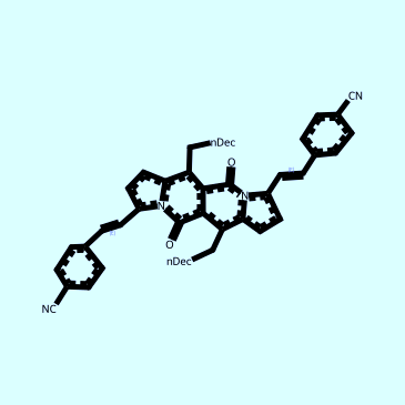 CCCCCCCCCCCc1c2c(=O)n3c(/C=C/c4ccc(C#N)cc4)ccc3c(CCCCCCCCCCC)c2c(=O)n2c(/C=C/c3ccc(C#N)cc3)ccc12